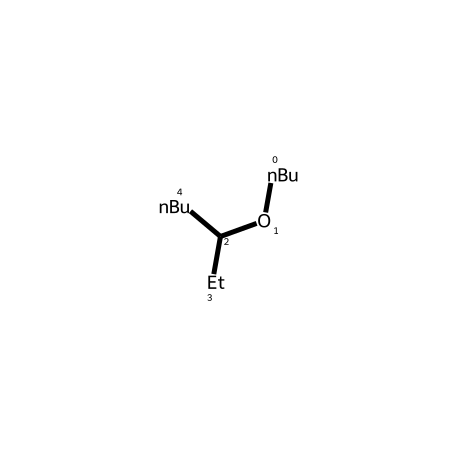 CCCCOC(CC)CCCC